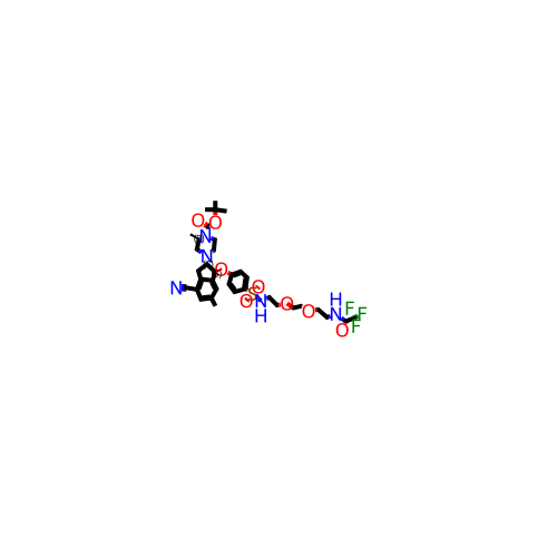 Cc1cc(C#N)c2c(c1)[C@H](Oc1ccc(S(=O)(=O)NCCOCCOCCNC(=O)C(F)(F)F)cc1)[C@@H](N1CCN(C(=O)OC(C)(C)C)[C@H](C)C1)C2